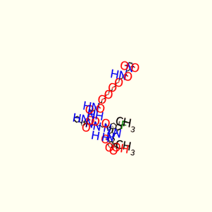 CC[C@@]1(O)C(=O)OCc2c1cc1n(c2=O)Cc2c-1nc1cc(F)c(C)c3c1c2[C@@H](NC(=O)CCNC(=O)CNC(=O)[C@H](Cc1ccccc1)NC(=O)CNC(=O)CNC(=O)CCOCCOCCOCCOCCNC(=O)CCN1C(=O)C=CC1=O)CC3